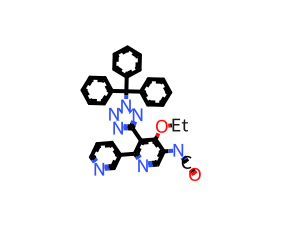 CCOc1c(N=C=O)cnc(-c2cccnc2)c1-c1nnn(C(c2ccccc2)(c2ccccc2)c2ccccc2)n1